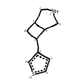 c1cc(C2CC3CNCC32)cs1